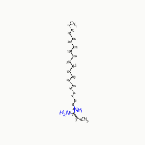 CC=C(N)NCCCCCCCCCCCCCCCCCCCC